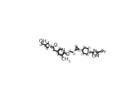 Cc1cc(CC(=O)N2CC(CO)C2)cnc1OCC[C@@H]1C[C@@H]1C1CCN(c2nc(C(C)C)no2)CC1